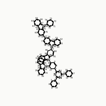 C1=CC(c2nc(-c3ccccc3)nc(-c3ccccc3)n2)CC(n2c3ccccc3c3ccccc32)=C1n1c2c(c3ccccc31)CC(n1c3ccccc3c3cc(-c4ccc5c6ccccc6n(-c6ccccc6)c5c4)ccc31)C=C2